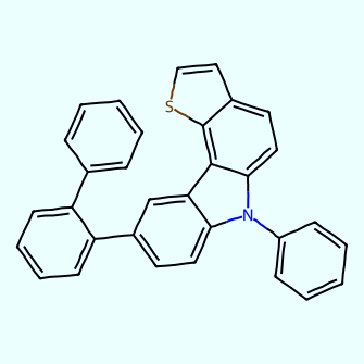 c1ccc(-c2ccccc2-c2ccc3c(c2)c2c4sccc4ccc2n3-c2ccccc2)cc1